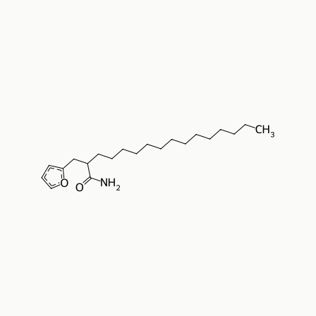 CCCCCCCCCCCCCCC(Cc1ccco1)C(N)=O